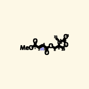 COC(=O)/C=C/C(=O)OCC1COC(=O)N1C